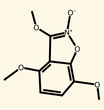 COc1ccc(OC)c2c(OC)[n+]([O-])oc12